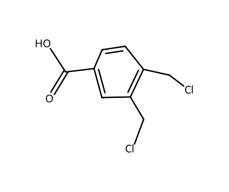 O=C(O)c1ccc(CCl)c(CCl)c1